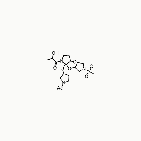 CC(=O)N1CCC(OC2(OC3CCN(S(C)(=O)=O)C3)C([O])CCN2C(=O)C(C)O)C1